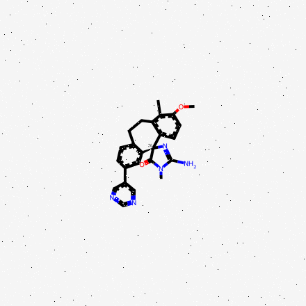 COc1ccc2c(c1C)CCc1ccc(-c3cncnc3)cc1[C@]21N=C(N)N(C)C1=O